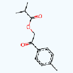 Cc1ccc(C(=O)COC(=O)C(C)C)cc1